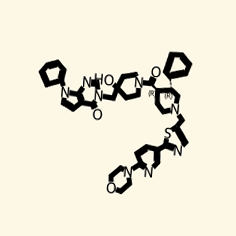 O=C([C@@H]1CCN(Cc2cnc(-c3ccc(N4CCOCC4)nc3)s2)C[C@H]1c1ccccc1)N1CCC(O)(Cn2cnc3c(ccn3-c3ccccc3)c2=O)CC1